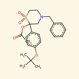 CC(=O)OC1(c2ccc(OC(C)(C)C)cc2)CN(Cc2ccccc2)CCS1(=O)=O